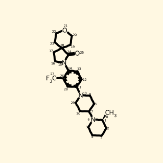 C[C@H]1CCCCN1C1CCN(c2ccc(N3CCC4(CCOCC4)C3=O)c(C(F)(F)F)c2)CC1